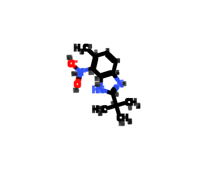 Cc1ccc2nc(C(C)(C)C)[nH]c2c1[N+](=O)[O-]